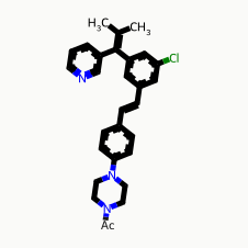 CC(=O)N1CCN(c2ccc(C=Cc3cc(Cl)cc(C(=C(C)C)c4cccnc4)c3)cc2)CC1